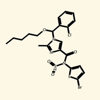 CCCCCOC(c1ccccc1Cl)n1cc(C(=O)N(c2ccc(Br)s2)[SH](=O)=O)nc1C